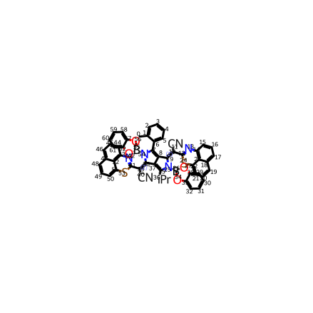 Cc1ccccc1-c1c2/c(=C(\C#N)C3=Nc4cccc5cccc(c45)S3)n(B3Oc4ccccc4O3)c(C(C)C)c2/c(=C(\C#N)C2=Nc3cccc4cccc(c34)S2)n1B1Oc2ccccc2O1